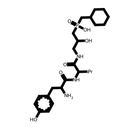 CC(C)C(NC(=O)C(N)Cc1ccc(O)cc1)C(=O)NCC(O)CP(=O)(O)CC1CCCCC1